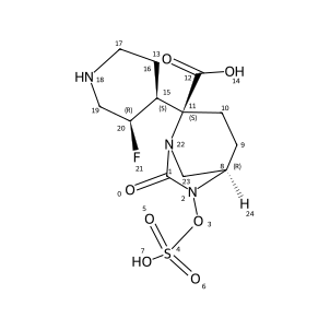 O=C1N(OS(=O)(=O)O)[C@@H]2CC[C@@](C(=O)O)([C@@H]3CCNC[C@@H]3F)N1C2